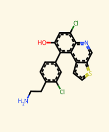 NCCc1ccc(-c2c(O)cc(Cl)c3ncc4sccc4c23)cc1Cl